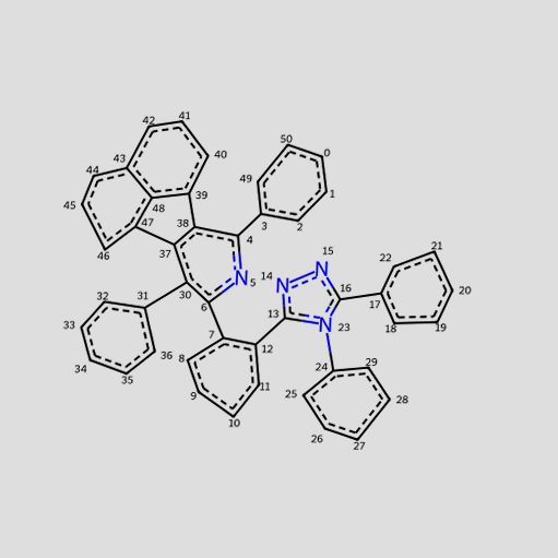 c1ccc(-c2nc(-c3ccccc3-c3nnc(-c4ccccc4)n3-c3ccccc3)c(-c3ccccc3)c3c2-c2cccc4cccc-3c24)cc1